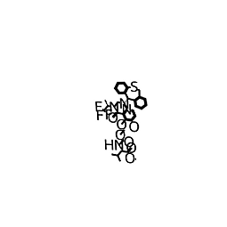 COC(=O)C(NC(=O)OCOc1c2n(ccc1=O)N([C@H]1c3ccccc3CSc3ccccc31)CN([C@H](C)C(F)(F)F)C2=O)C(C)C